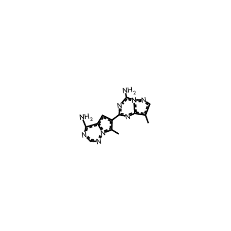 Cc1cnn2c(N)nc(-c3cc4c(N)ncnn4c3C)nc12